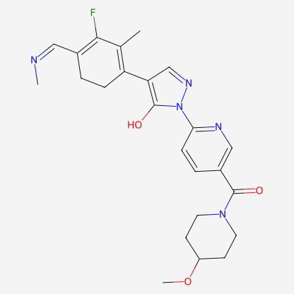 C/N=C\C1=C(F)C(C)=C(c2cnn(-c3ccc(C(=O)N4CCC(OC)CC4)cn3)c2O)CC1